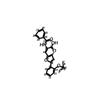 O=C(O)/C(=C\c1ccc(-c2ccccc2OC(F)(F)F)o1)NC(=O)c1ccccc1